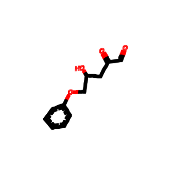 O=CC(=O)CC(O)COc1ccccc1